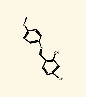 COc1ccc(N=Cc2ccc(O)cc2O)cc1